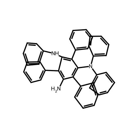 Nc1c(-c2ccccc2)c(Nc2ccccc2)c(-c2ccccc2)c(N(c2ccccc2)c2ccccc2)c1-c1ccccc1